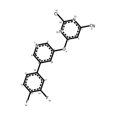 N#Cc1cc(Oc2cncc(-c3ccc(F)c(F)c3)c2)nc(Cl)n1